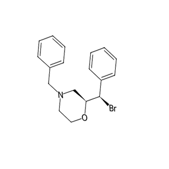 Br[C@H](c1ccccc1)[C@@H]1CN(Cc2ccccc2)CCO1